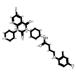 Cc1cc(Cl)ccc1OCCCC(=O)N[C@H]1CC[C@@H](n2c(=O)c3cc(F)cnc3n(C3CCSCC3)c2=O)CC1